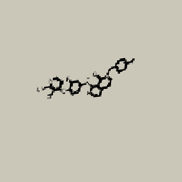 Nc1nccc(Oc2ccc(Nc3nccc4ccn(Cc5ccc(F)cc5)c(=O)c34)cc2F)c1Cl